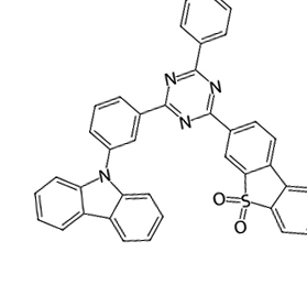 O=S1(=O)c2ccccc2-c2ccc(-c3nc(-c4ccccc4)nc(-c4cccc(-n5c6ccccc6c6ccccc65)c4)n3)cc21